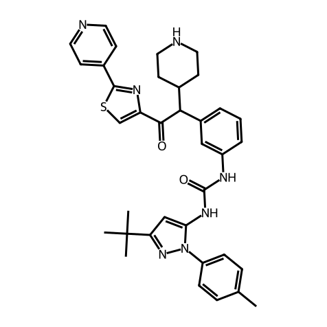 Cc1ccc(-n2nc(C(C)(C)C)cc2NC(=O)Nc2cccc(C(C(=O)c3csc(-c4ccncc4)n3)C3CCNCC3)c2)cc1